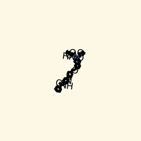 CC(C)(C)OC(=O)/N=C(/NC(=O)OC(C)(C)C)N1CCc2ccc(OCC3CCN(c4ccc(NC(=O)c5ccccc5)cn4)CC3)cc2C1